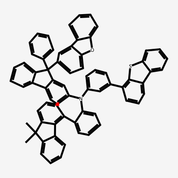 CC1(C)c2ccccc2-c2c(-c3ccccc3N(c3cccc(-c4cccc5c4sc4ccccc45)c3)c3ccc4c(c3)C(c3ccccc3)(c3ccc5oc6ccccc6c5c3)c3ccccc3-4)cccc21